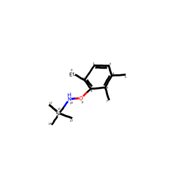 CCc1ccc(C)c(C)c1ON[Si](C)(C)C